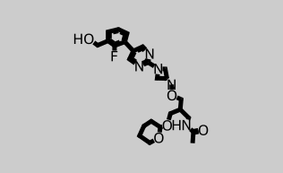 CC(=O)NCC(CON=C1CN(c2ncc(-c3cccc(CO)c3F)cn2)C1)COC1CCCCO1